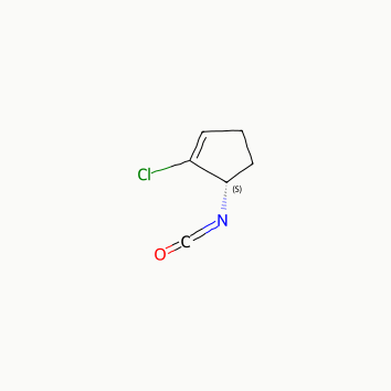 O=C=N[C@H]1CCC=C1Cl